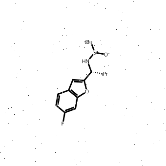 CC(C)[C@@H](N[S+]([O-])C(C)(C)C)c1cc2ccc(F)cc2o1